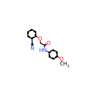 COc1ccc(NC(=O)COc2ccccc2C#N)cc1